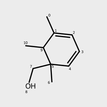 CC1=CC=CC(C)(CO)C1C